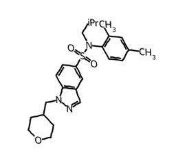 Cc1ccc(N(CC(C)C)S(=O)(=O)c2ccc3c(cnn3CC3CCOCC3)c2)c(C)c1